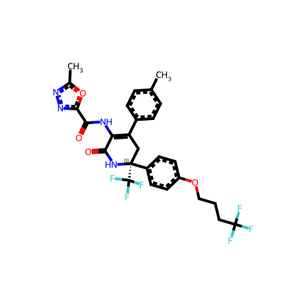 Cc1ccc(C2=C(NC(=O)c3nnc(C)o3)C(=O)N[C@@](c3ccc(OCCCC(F)(F)F)cc3)(C(F)(F)F)C2)cc1